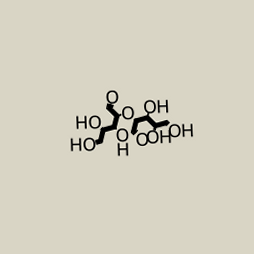 O=C[C@H](O[C@@H](C=O)[C@H](O)[C@H](O)CO)[C@H](O)[C@H](O)CO